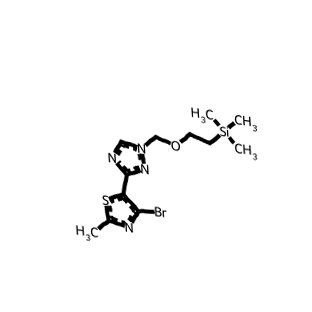 Cc1nc(Br)c(-c2ncn(COCC[Si](C)(C)C)n2)s1